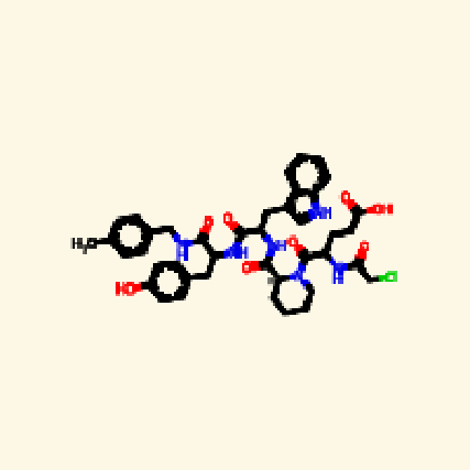 Cc1ccc(CNC(=O)C(Cc2ccc(O)cc2)NC(=O)C(Cc2c[nH]c3ccccc23)NC(=O)[C@@H]2CCCCN2C(=O)C(CCC(=O)O)NC(=O)CCl)cc1